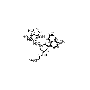 COCCN[C@@H]1C[C@H](C)CN(c2ccc(C#N)c3ncccc23)C1.O=C(O)CC(O)(CC(=O)O)C(=O)O